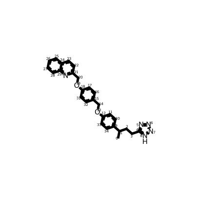 CC(CCc1nnn[nH]1)c1ccc(OCc2ccc(OCc3ccc4ccccc4n3)cc2)cc1